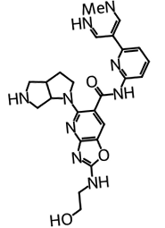 CN/C=C(\C=N)c1cccc(NC(=O)c2cc3oc(NCCO)nc3nc2N2CCC3CNCC32)n1